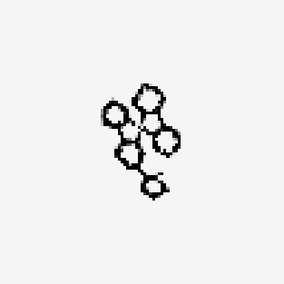 c1coc(-c2ccc3c(c2)[Si]2(c4ccccc4-c4ccccc42)c2ccccc2-3)c1